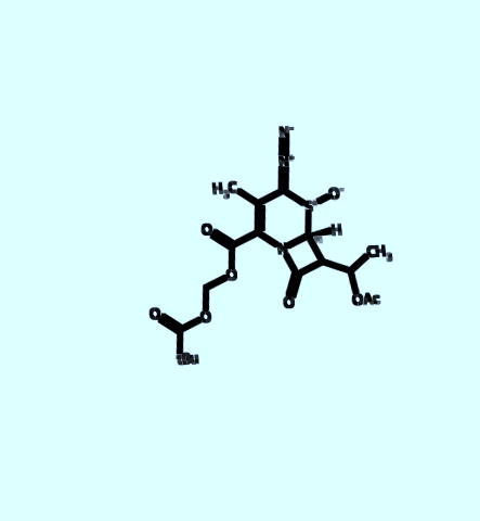 CC(=O)OC(C)C1C(=O)N2C(C(=O)OCOC(=O)C(C)(C)C)=C(C)C(=[N+]=[N-])[S+]([O-])[C@H]12